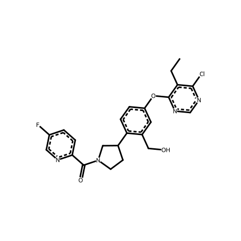 CCc1c(Cl)ncnc1Oc1ccc(C2CCN(C(=O)c3ccc(F)cn3)C2)c(CO)c1